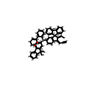 C#C/C=C1\C(=C/C)C2(c3cc(N(c4ccc5c(c4)C(C)(C)c4ccccc4-5)c4ccccc4C4=CCCC=C4)ccc31)c1ccccc1-c1ccccc12